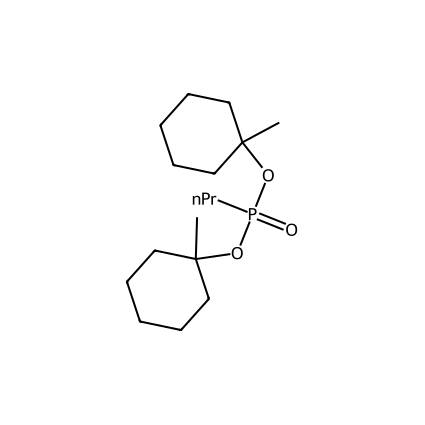 CCCP(=O)(OC1(C)CCCCC1)OC1(C)CCCCC1